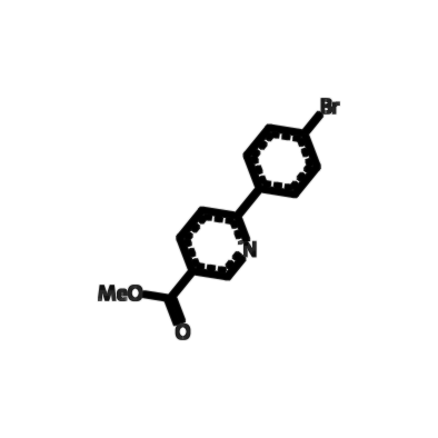 COC(=O)c1ccc(-c2ccc(Br)cc2)nc1